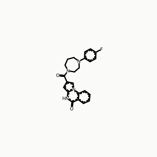 O=C(c1cc2[nH]c(=O)c3ccccc3n2c1)N1CCCN(c2ccc(F)cc2)CC1